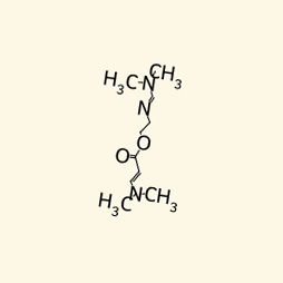 CN(C)C=CC(=O)OCCN=CN(C)C